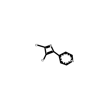 ClC1=NC(c2ccncc2)=C1Cl